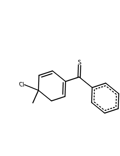 CC1(Cl)C=CC(C(=S)c2ccccc2)=CC1